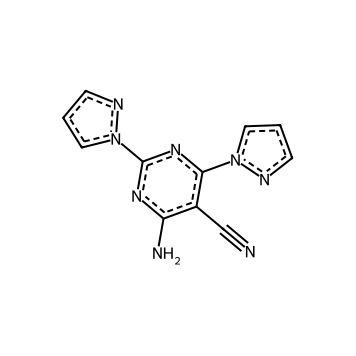 N#Cc1c(N)nc(-n2cccn2)nc1-n1cccn1